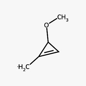 [CH2]C1=CC1OC